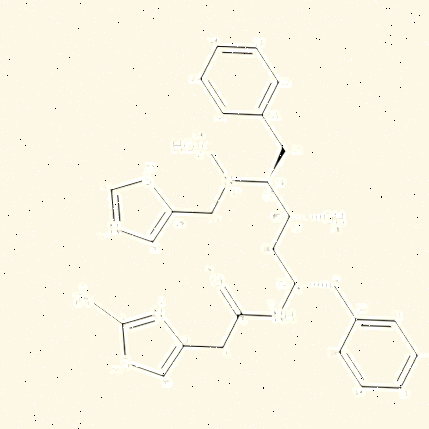 CC(C)c1nc(CC(=O)N[C@@H](Cc2ccccc2)C[C@@H](O)[C@H](Cc2ccccc2)N(Cc2cncs2)C(=O)O)cs1